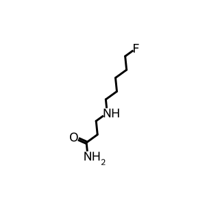 NC(=O)CCNCCCCCF